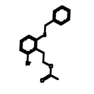 CC(=O)OCCc1c(Br)cccc1SCc1ccccc1